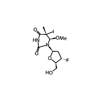 CO[C@H]1N([C@H]2C[C@H](F)[C@@H](CO)O2)C(=O)NC(=O)[C@]1(C)I